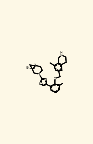 CCOC(=O)[C@@]12CCN(c3nc(-c4cccc(C)c4OCc4cc(C)c5c(c4)CCNC5)cs3)CC1C2